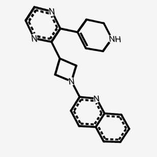 C1=C(c2nccnc2C2CN(c3ccc4ccccc4n3)C2)CCNC1